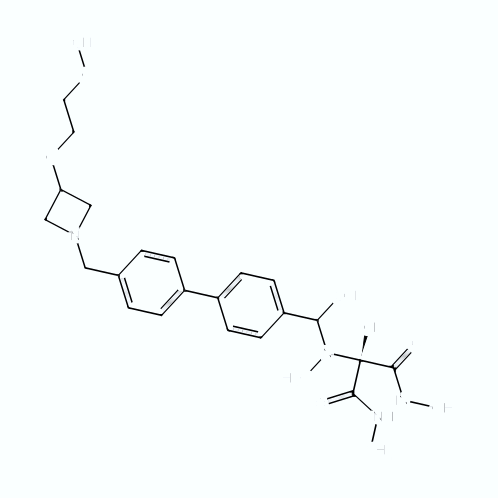 CNC(=O)[C@@](C)(C(=O)NO)N(C)C(O)c1ccc(-c2ccc(CN3CC(OCCOC)C3)cc2)cc1